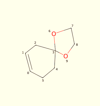 C1=CCC2(CC1)OCCO2